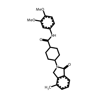 COc1ccc(NC(=O)C2CCC(N3Cc4c(C)cccc4C3=O)CC2)cc1OC